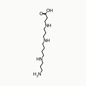 NCCCNCCCCNCCCNCCC(=O)O